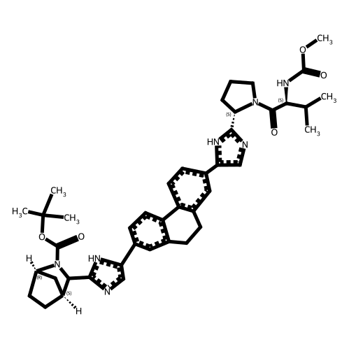 COC(=O)N[C@H](C(=O)N1CCC[C@H]1c1ncc(-c2ccc3c(c2)CCc2cc(-c4cnc(C5[C@H]6CC[C@H](C6)N5C(=O)OC(C)(C)C)[nH]4)ccc2-3)[nH]1)C(C)C